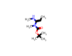 C/C=C(\NC)N(C)C(=O)OC(C)(C)C